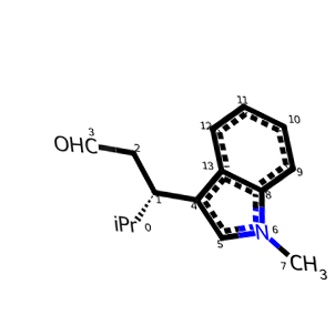 CC(C)[C@H](CC=O)c1cn(C)c2ccccc12